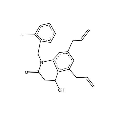 [CH2]c1ccccc1CN1C(=O)CC(O)c2c(CC=C)cc(CC=C)cc21